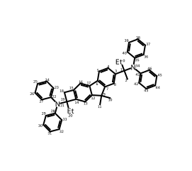 CCC(C)(c1ccc2c(c1)C(C)(C)c1cc3c(cc1-2)CC3(CC)N(c1ccccc1)c1ccccc1)N(c1ccccc1)c1ccccc1